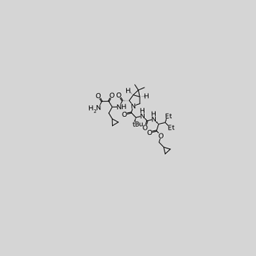 CCC(CC)[C@H](NC(=O)N[C@H](C(=O)N1C[C@H]2[C@@H]([C@H]1C(=O)NC(CC1CC1)C(=O)C(N)=O)C2(C)C)C(C)(C)C)C(=O)OCC1CC1